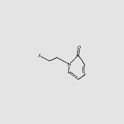 O=c1c[c]ccn1CCF